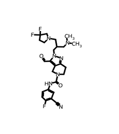 CN(C)CC(CN1CCC(F)(F)C1)Cn1nc2c(c1C=O)CN(C(=O)Nc1ccc(F)c(C#N)c1)CC2